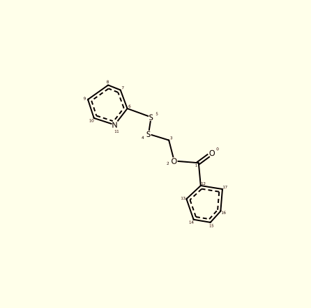 O=C(OCSSc1ccccn1)c1ccccc1